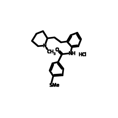 CSc1ccc(C(=O)Nc2ccccc2CCC2CCCCN2C)cc1.Cl